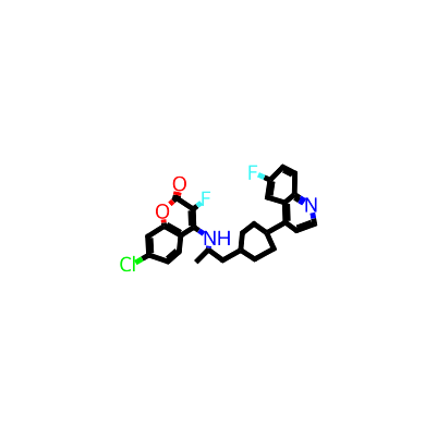 CC(CC1CCC(c2ccnc3ccc(F)cc23)CC1)Nc1c(F)c(=O)oc2cc(Cl)ccc12